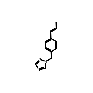 [CH2]/C=C/c1ccc(Cn2cncn2)cc1